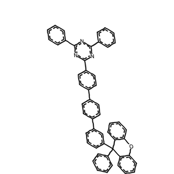 c1ccc(-c2nc(-c3ccccc3)nc(-c3ccc(-c4ccc(-c5cccc(C6(c7ccccc7)c7ccccc7Oc7ccccc76)c5)cc4)cc3)n2)cc1